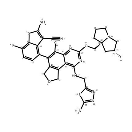 N#Cc1c(N)sc2c(F)ccc(-c3c4c(c5c(NCc6nnc(N)s6)nc(OC[C@@]67CCCN6C[C@H](F)C7)nc5c3Cl)COC4)c12